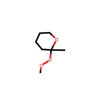 COOC1(C)CCCCO1